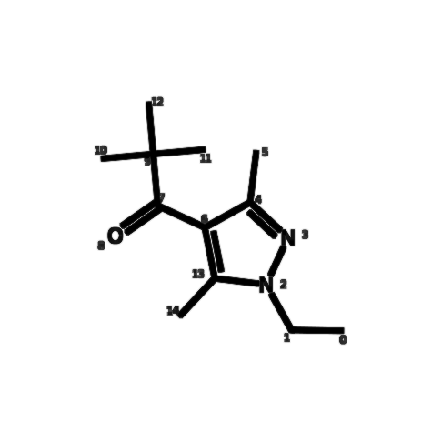 CCn1nc(C)c(C(=O)C(C)(C)C)c1C